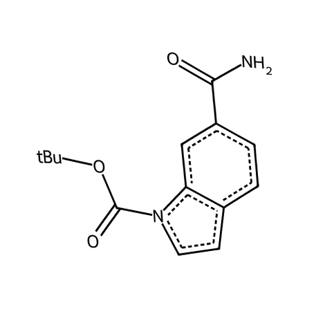 CC(C)(C)OC(=O)n1ccc2ccc(C(N)=O)cc21